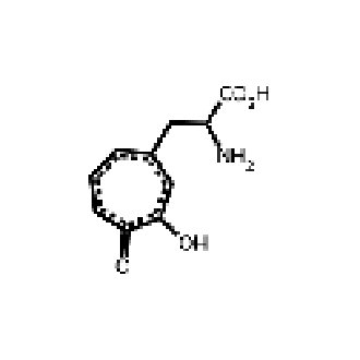 NC(Cc1cccc(=O)c(O)c1)C(=O)O